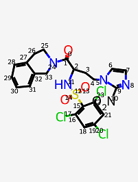 O=C(C(CCn1ccnc1[N+](=O)[O-])NS(=O)(=O)c1c(Cl)cc(Cl)cc1Cl)N1CCc2ccccc2C1